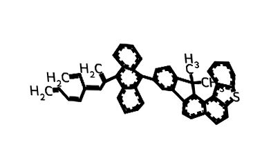 C=C/C=C\C(C=C)=C\C(=C)c1c2ccccc2c(-c2ccc3c(c2)-c2ccc4ccc5sc6ccccc6c5c4c2C3(C)C)c2ccccc12